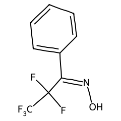 ON=C(c1ccccc1)C(F)(F)C(F)(F)F